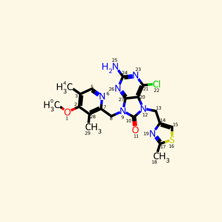 COc1c(C)cnc(Cn2c(=O)n(Cc3csc(C)n3)c3c(Cl)nc(N)nc32)c1C